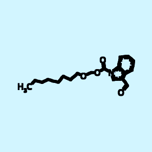 CCCCCCCCOCOC(=O)n1cc(C=O)c2ccccc21